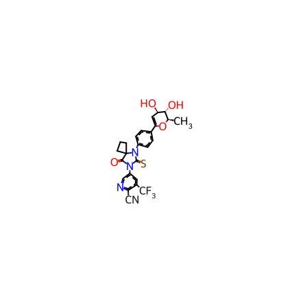 C[C@H]1OC(c2ccc(N3C(=S)N(c4cnc(C#N)c(C(F)(F)F)c4)C(=O)C34CCC4)cc2)=C[C@@H](O)[C@@H]1O